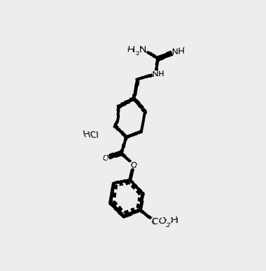 Cl.N=C(N)NCC1CCC(C(=O)Oc2cccc(C(=O)O)c2)CC1